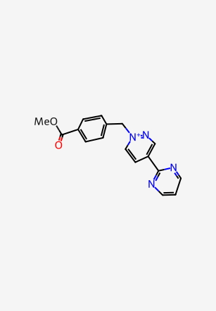 COC(=O)c1ccc(C[n+]2ccc(-c3ncccn3)cn2)cc1